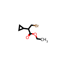 CCOC(=O)C(CBr)C1CC1